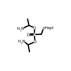 CCCCCCCCP(=O)(OC(C)N)OC(C)N